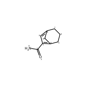 NC(=O)C1=C2CCCC(=C1)C2